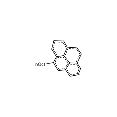 CCCCCCCCc1cc2c[c]cc3ccc4cccc1c4c32